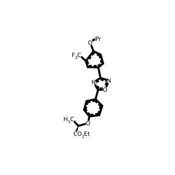 CCOC(=O)[C@@H](C)Oc1ccc(-c2nc(-c3ccc(OC(C)C)c(C(F)(F)F)c3)no2)cc1